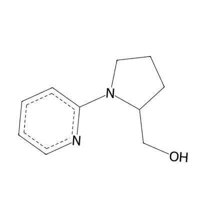 OCC1CCCN1c1ccccn1